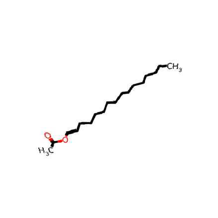 CCCCCCCCCCCCCC/C=C/OC(C)=O